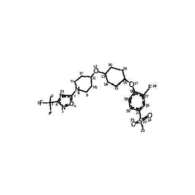 CC(C)(F)c1noc(N2CCC(OC3CCC(Oc4ccc(S(C)(=O)=O)cc4F)CC3)CC2)n1